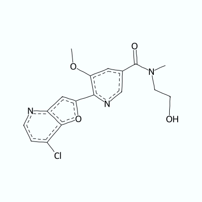 COc1cc(C(=O)N(C)CCO)cnc1-c1cc2nccc(Cl)c2o1